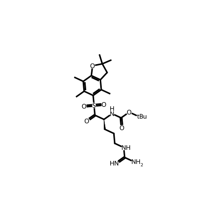 Cc1c(C)c(S(=O)(=O)C(=O)[C@H](CCCNC(=N)N)NC(=O)OC(C)(C)C)c(C)c2c1OC(C)(C)C2